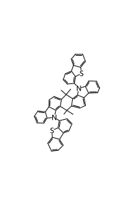 CC1(C)c2ccc3c4ccccc4n(-c4cccc5c4sc4ccccc45)c3c2C(C)(C)c2ccc3c4ccccc4n(-c4cccc5c4sc4ccccc45)c3c21